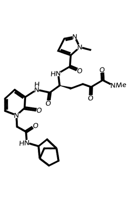 CNC(=O)C(=O)CC[C@H](NC(=O)c1ccnn1C)C(=O)Nc1cccn(CC(=O)NC2CC3CCC2C3)c1=O